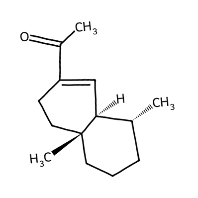 CC(=O)C1=C[C@H]2[C@H](C)CCC[C@]2(C)CC1